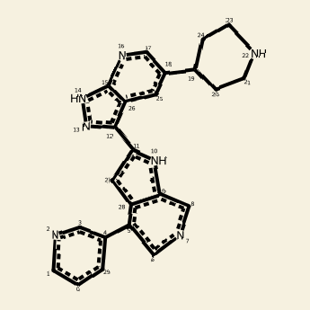 c1cncc(-c2cncc3[nH]c(-c4n[nH]c5ncc(C6CCNCC6)cc45)cc23)c1